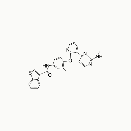 CNc1nccc(-c2cccnc2Oc2ccc(NC(=O)c3csc4ccccc34)cc2C)n1